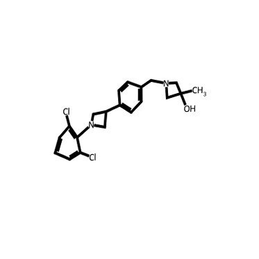 CC1(O)CN(Cc2ccc(C3CN(c4c(Cl)cccc4Cl)C3)cc2)C1